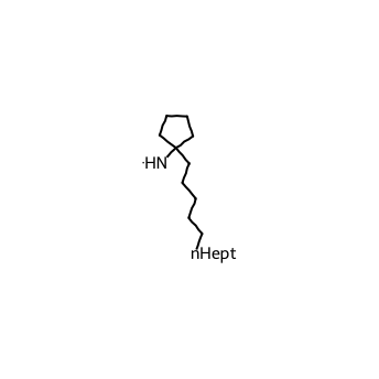 CCCCCCCCCCCCC1([NH])CCCC1